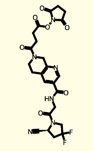 N#C[C@@H]1CC(F)(F)CN1C(=O)CNC(=O)c1cnc2c(c1)CCN(C(=O)CCC(=O)ON1C(=O)CCC1=O)C2